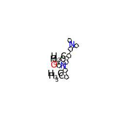 CC1(C)c2ccccc2-c2ccc(N(c3ccc4c(c3)C(C)(C)c3cc(-c5ccc6c(c5)c5ccccc5n6-c5ccccc5)ccc3-4)c3ccc4oc5ccccc5c4c3)cc21